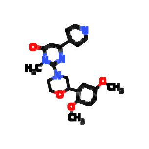 COc1ccc(OC)c(C2CN(c3nc(-c4ccncc4)cc(=O)n3C)CCO2)c1